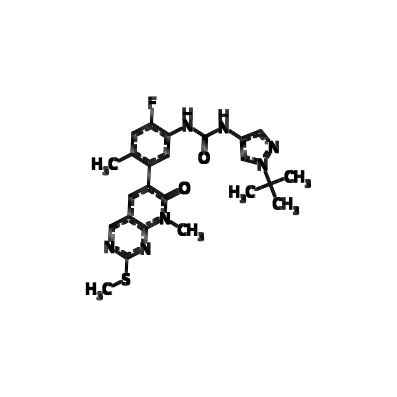 CSc1ncc2cc(-c3cc(NC(=O)Nc4cnn(C(C)(C)C)c4)c(F)cc3C)c(=O)n(C)c2n1